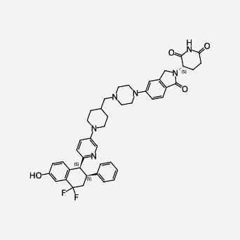 O=C1CC[C@H](N2Cc3cc(N4CCN(CC5CCN(c6ccc([C@@H]7c8ccc(O)cc8C(F)(F)C[C@@H]7c7ccccc7)nc6)CC5)CC4)ccc3C2=O)C(=O)N1